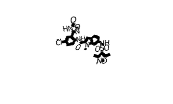 Cc1noc(C)c1S(=O)(=O)Nc1ccc2cc(C(=O)Nc3ccc(Cl)cc3-c3noc(=O)[nH]3)n(C)c2c1